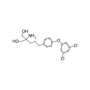 NC(CO)(CO)CCCc1ccc(Oc2cc(Cl)cc(Cl)c2)cc1